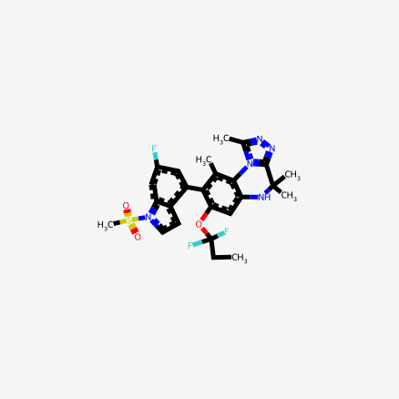 CCC(F)(F)Oc1cc2c(c(C)c1-c1cc(F)cc3c1ccn3S(C)(=O)=O)-n1c(C)nnc1C(C)(C)N2